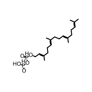 CC(C)=CCCC(C)=CCCC(C)=CCCC(C)=CCO[PH](=O)O[PH](=O)O